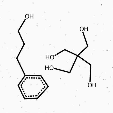 OCC(CO)(CO)CO.OCCCc1ccccc1